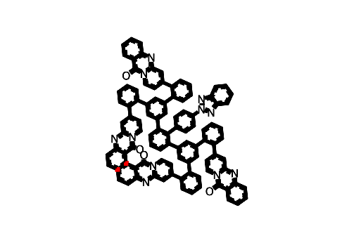 O=c1c2ccccc2nc2cc(-c3ccccc3-c3cc(-c4ccccc4-c4ccn5c(=O)c6ccccc6nc5c4)cc(-c4cccc(-c5cc(-c6ccccc6-c6ccn7c(=O)c8ccccc8nc7c6)cc(-c6ccccc6-c6ccn7c(=O)c8ccccc8nc7c6)c5)c4-c4ccc(-n5nc6ccccc6n5)cc4)c3)ccn12